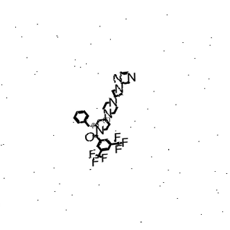 O=C(c1cc(C(F)(F)F)cc(C(F)(F)F)c1)N1CC[C@H](N2CCN(C3CN(c4cnccn4)C3)CC2)C[C@H]1Cc1ccccc1